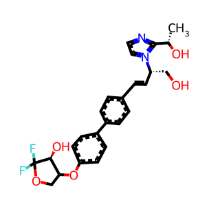 C[C@H](O)c1nccn1[C@@H](/C=C/c1ccc(-c2ccc(OC3COC(F)(F)[C@H]3O)cc2)cc1)CO